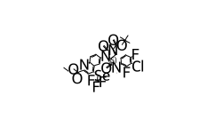 CCOC(=O)c1cc([Se]C(F)(F)F)c2cc(N3C(=O)N(C(=O)OC(C)(C)C)C[C@H]3C(=O)N(C)c3ccc(F)c(Cl)c3F)ccc2n1